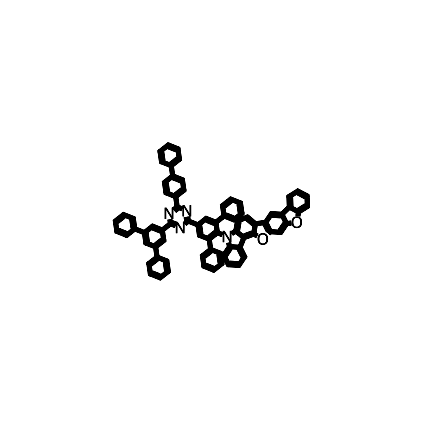 c1ccc(-c2ccc(-c3nc(-c4cc(-c5ccccc5)cc(-c5ccccc5)c4)nc(-c4cc(-c5ccccc5)c(-n5c6ccccc6c6c7oc8cc9oc%10ccccc%10c9cc8c7ccc65)c(-c5ccccc5)c4)n3)cc2)cc1